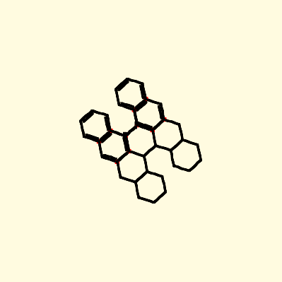 c1ccc(P(c2ccccc2)C2CCC3CCCCC3C2C2C3CCCCC3CCC2P(c2ccccc2)c2ccccc2)cc1